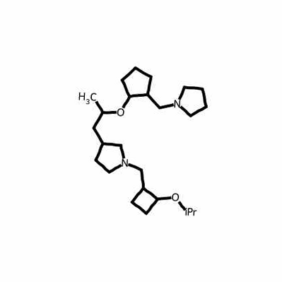 CC(C)OC1CCC1CN1CCC(CC(C)OC2CCCC2CN2CCCC2)C1